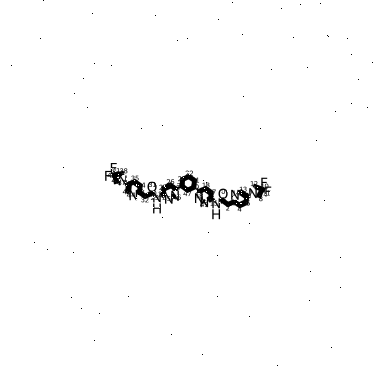 O=C(Cc1ccc(N2CC(F)(F)C2)cn1)Nc1ccc([C@H]2CCC[C@H](c3ccc(NC(=O)Cc4ccc(N5CC(F)(F)C5)cn4)nn3)C2)nn1